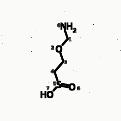 NCOCCS(=O)O